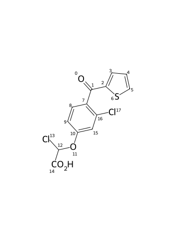 O=C(c1cccs1)c1ccc(OC(Cl)C(=O)O)cc1Cl